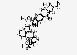 COc1cccc2cc(-c3nc4cc5c(nc4n3C)CCN(C[C@H](N)CF)C5=O)n(Cc3ncc(C)s3)c12